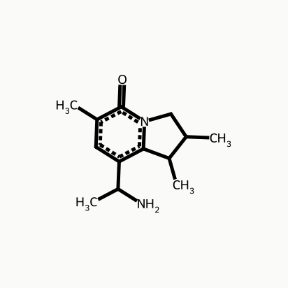 Cc1cc(C(C)N)c2n(c1=O)CC(C)C2C